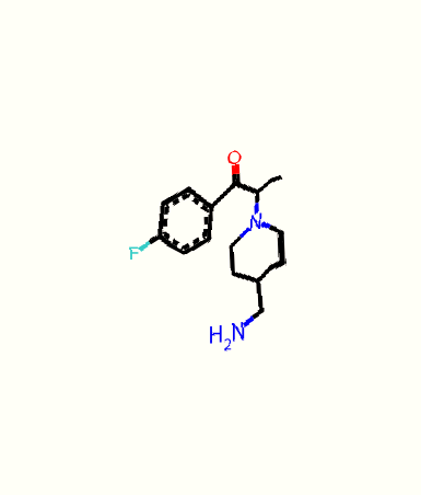 CC(C(=O)c1ccc(F)cc1)N1CCC(CN)CC1